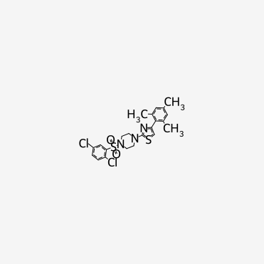 Cc1cc(C)c(-c2csc(N3CCN(S(=O)(=O)c4cc(Cl)ccc4Cl)CC3)n2)c(C)c1